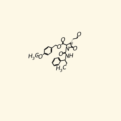 CCC(NC(=O)N1C(=O)[C@@H](CC=O)C1C(=O)OCc1ccc(OC)cc1)c1ccccc1